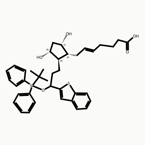 CC(C)(C)[Si](OC(CC[C@@H]1[C@@H](CC=CCCCC(=O)O)[C@@H](O)C[C@H]1O)c1cc2ccccc2s1)(c1ccccc1)c1ccccc1